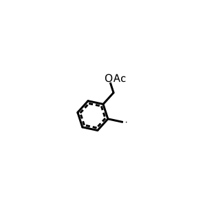 [CH2]c1ccccc1COC(C)=O